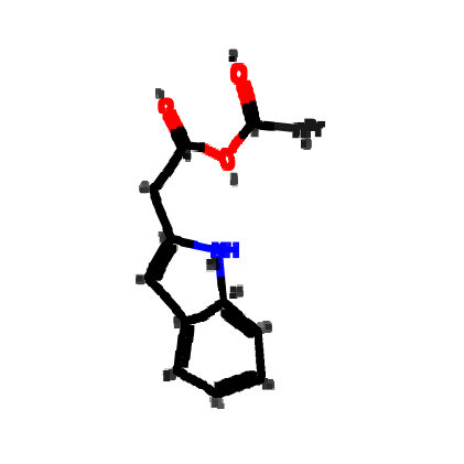 CCCC(=O)OC(=O)Cc1cc2ccccc2[nH]1